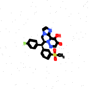 CS(=O)(=O)c1cccc([C@H](c2ccc(F)cc2)[C@H]2Cn3ccnc3-c3c(O)c(=O)cnn32)c1